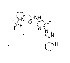 O=C(Cc1cccc(C(F)(F)F)n1)Nc1cnc(-n2cnc([C@@H]3CCCCN3)c2)c(F)c1